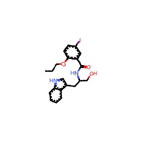 CCCOc1ccc(I)cc1C(=O)NC(CO)Cc1c[nH]c2ccccc12